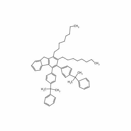 CCCCCCCCc1c(CCCCCCCC)c(-c2ccc(C(C)(C)c3ccccc3)cc2)c(-c2ccc(C(C)(C)c3ccccc3)cc2)c2c1Cc1ccccc1-2